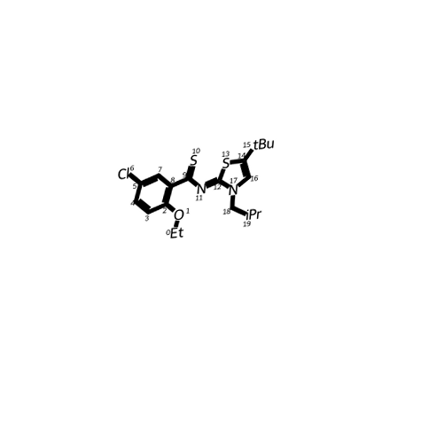 CCOc1ccc(Cl)cc1C(=S)/N=c1\sc(C(C)(C)C)cn1CC(C)C